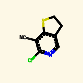 N#Cc1c(Cl)ncc2c1SCC2